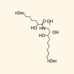 CCCCCCCCCCCCCCCCC(O)[C@@H](O)[C@@H](CO)NC(=O)C(O)CCCCCCCCCCCCCC